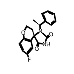 C[C@@H](c1ccccc1)N1C(=O)NC(=O)[C@@]12CCOc1ccc(F)cc12